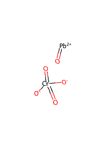 [O]=[Cr](=[O])([O-])[O-].[O]=[Pb+2]